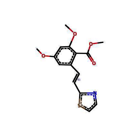 COC(=O)c1c(/C=C/c2nccs2)cc(OC)cc1OC